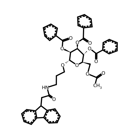 CC(=O)OC[C@H]1O[C@H](OCCCNC(=O)CC2c3ccccc3-c3ccccc32)[C@@H](OC(=O)c2ccccc2)[C@@H](OC(=O)c2ccccc2)[C@@H]1OC(=O)c1ccccc1